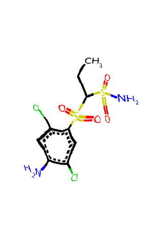 CCC(S(N)(=O)=O)S(=O)(=O)c1cc(Cl)c(N)cc1Cl